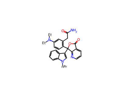 CCCn1cc(C2(c3ccc(N(CC)CC)cc3CC(N)=O)OC(=O)c3cccnc32)c2ccccc21